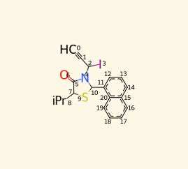 C#CC(I)N1C(=O)C(C(C)C)SC1c1cccc2ccccc12